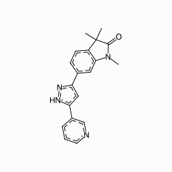 CN1C(=O)C(C)(C)c2ccc(-c3cc(-c4cccnc4)[nH]n3)cc21